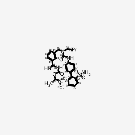 CCN(CC)C(C)OC(=O)NC(=N)c1cccc(CN(CC(C)C)C(=O)Nc2ccc(-c3ccccc3S(N)(=O)=O)cc2)c1